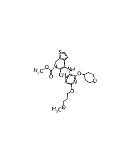 COCCCOc1ccc(NC2=C(C)N(C(=O)OC)Cc3sccc32)c(OC2CCOCC2)n1